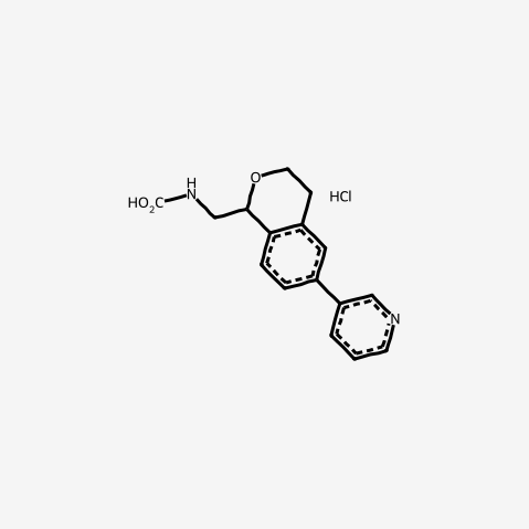 Cl.O=C(O)NCC1OCCc2cc(-c3cccnc3)ccc21